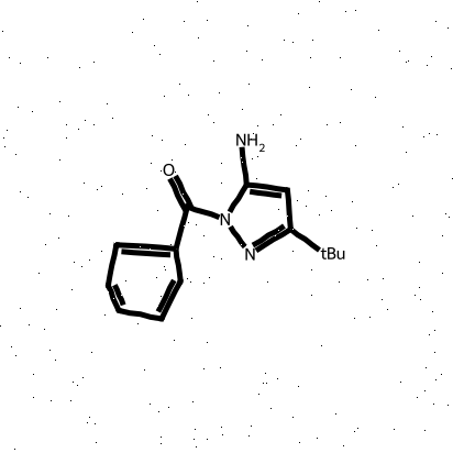 CC(C)(C)c1cc(N)n(C(=O)c2ccccc2)n1